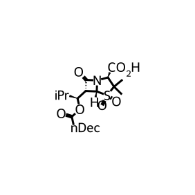 CCCCCCCCCCC(=O)O[C@@H](C(C)C)[C@@H]1C(=O)N2[C@@H](C(=O)O)C(C)(C)S(=O)(=O)[C@H]12